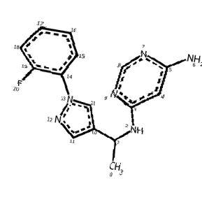 CC(Nc1cc(N)ncn1)c1cnn(-c2ccccc2F)c1